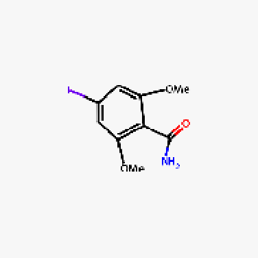 COc1cc(I)cc(OC)c1C(N)=O